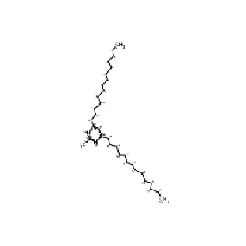 CCCCCCCCCCCCCCc1cc(CCCCCCCCCCCCCC)nc(C)n1